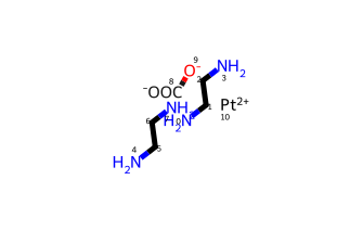 NCCN.NCCN.O=C([O-])[O-].[Pt+2]